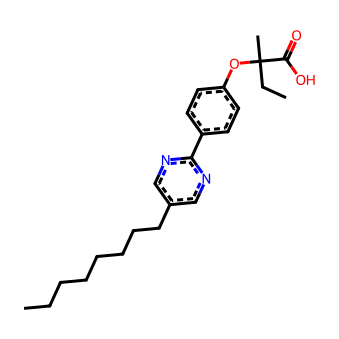 CCCCCCCCc1cnc(-c2ccc(OC(C)(CC)C(=O)O)cc2)nc1